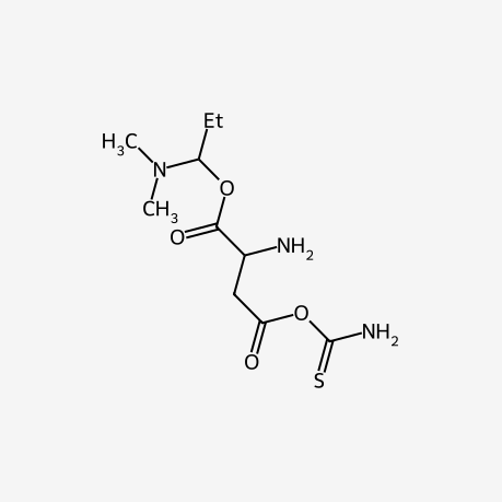 CCC(OC(=O)C(N)CC(=O)OC(N)=S)N(C)C